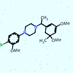 COC1=CC(C)(OC)CC(C(C)N2CCN(c3ccc(Br)c(OC)c3)CC2)=C1